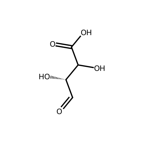 O=C[C@H](O)C(O)C(=O)O